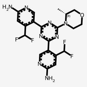 C[C@@H]1COCCN1c1nc(-c2cnc(N)cc2C(F)F)nc(-c2cnc(N)cc2C(F)F)n1